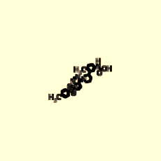 Cc1ccc(S(=O)(=O)n2ccc3c(N4CCCC(c5cc(NC(=O)O)ccc5C)C4)ncnc32)cc1